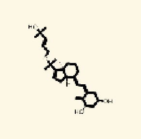 C=C1C(=CC=C2CCC[C@]3(C)C(C(C)(C)OC/C=C/C(C)(C)O)=CC[C@@H]23)C[C@@H](O)C[C@@H]1O